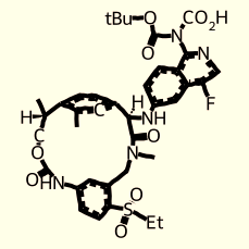 CCS(=O)(=O)c1ccc2cc1CN(C)C(=O)[C@H](Nc1ccc3c(N(C(=O)O)C(=O)OC(C)(C)C)ncc(F)c3c1)c1ccc(c(C)c1)[C@@H](C)COC(=O)N2